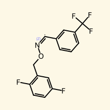 Fc1ccc(F)c(CO/N=[C]\c2cccc(C(F)(F)F)c2)c1